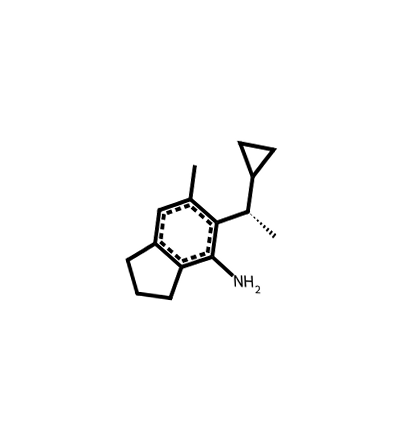 Cc1cc2c(c(N)c1[C@@H](C)C1CC1)CCC2